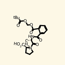 C[C@H](NC(=O)c1ccccc1C(=O)OCOC(=O)C(C)(C)C)C(=O)N1CCC[C@H]1C(=O)O